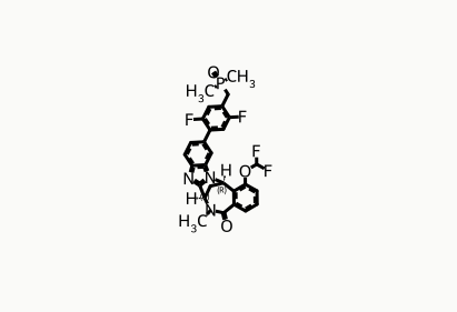 CN1C(=O)c2cccc(OC(F)F)c2[C@H]2C[C@@H]1c1nc3ccc(-c4cc(F)c(CP(C)(C)=O)cc4F)cc3n12